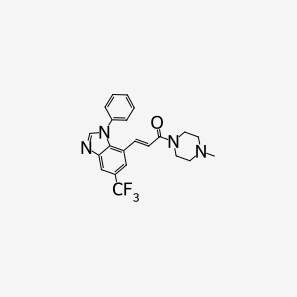 CN1CCN(C(=O)C=Cc2cc(C(F)(F)F)cc3ncn(-c4ccccc4)c23)CC1